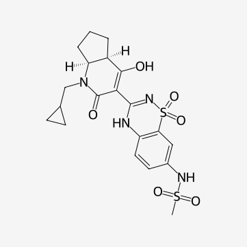 CS(=O)(=O)Nc1ccc2c(c1)S(=O)(=O)N=C(C1=C(O)[C@@H]3CCC[C@@H]3N(CC3CC3)C1=O)N2